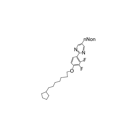 CCCCCCCCCc1cnc(-c2ccc(OCCCCCCCC3CCCC3)c(F)c2F)nc1